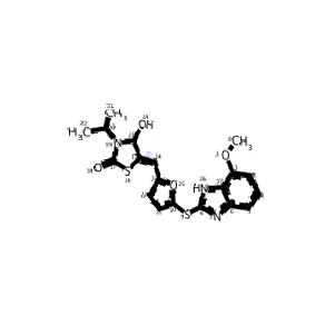 COc1cccc2nc(Sc3ccc(/C=C4\SC(=O)N(C(C)C)C4O)o3)[nH]c12